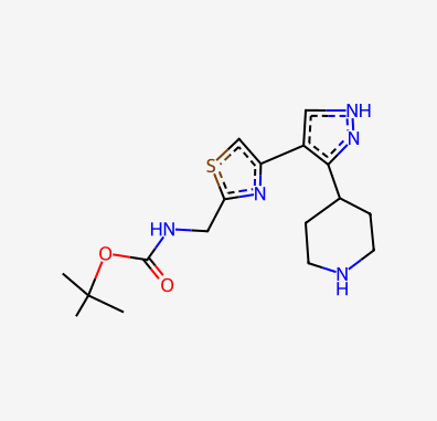 CC(C)(C)OC(=O)NCc1nc(-c2c[nH]nc2C2CCNCC2)cs1